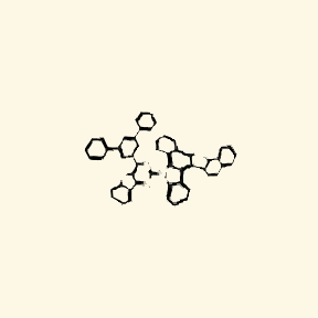 c1ccc(-c2cc(-c3ccccc3)cc(-c3nc(-n4c5ccccc5c5c6c7ccc8ccccc8c7sc6c6ccccc6c54)nc4c3oc3ccccc34)c2)cc1